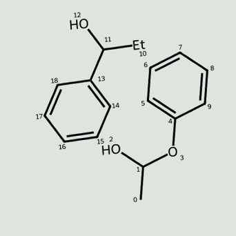 CC(O)Oc1ccccc1.CCC(O)c1ccccc1